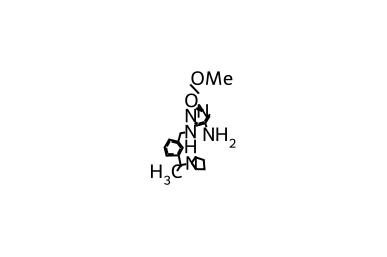 COCCOc1ncc(N)c(NCc2cccc(C(C)N3CCCC3)c2)n1